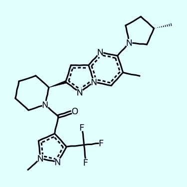 Cc1cn2nc([C@@H]3CCCCN3C(=O)c3cn(C)nc3C(F)(F)F)cc2nc1N1CC[C@H](C)C1